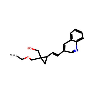 COCOCC1(CO)CC1C=Cc1cnc2ccccc2c1